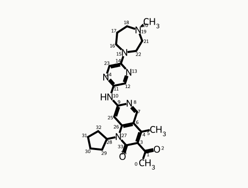 CC(=O)c1c(C)c2cnc(Nc3cnc(N4CCCN(C)CC4)cn3)cc2n(C2CCCC2)c1=O